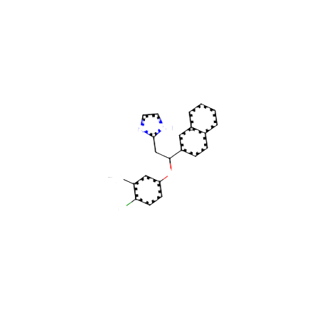 Cc1cc(OC(Cc2ncc[nH]2)c2ccc3ccccc3c2)ccc1Br